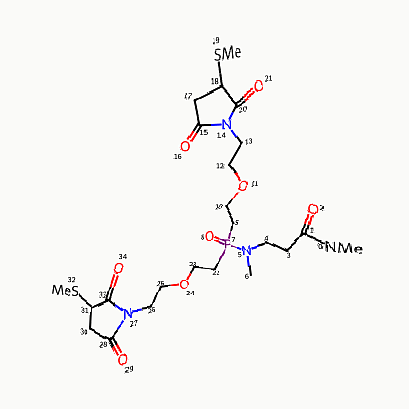 CNC(=O)CCN(C)P(=O)(CCOCCN1C(=O)CC(SC)C1=O)CCOCCN1C(=O)CC(SC)C1=O